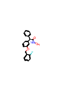 O=C(NO)C(c1ccccc1)c1cccc(OCc2ccccc2F)c1